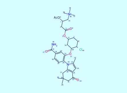 CC(=O)OC(CC(=O)OC1CCCC(Oc2cc(C(N)=O)ccc2-n2c(C)cc3c2CC(C)(C)CC3=O)C1)C[N+](C)(C)C.[Cl-]